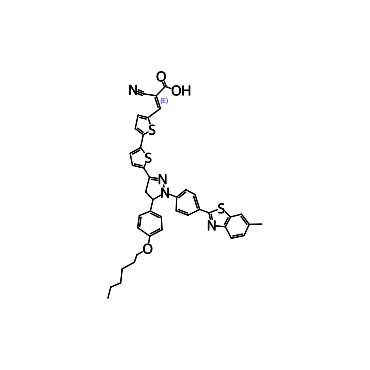 CCCCCCOc1ccc(C2CC(c3ccc(-c4ccc(/C=C(\C#N)C(=O)O)s4)s3)=NN2c2ccc(-c3nc4ccc(C)cc4s3)cc2)cc1